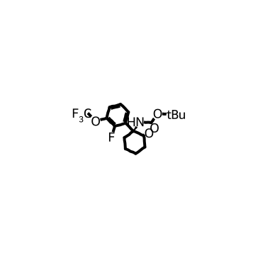 CC(C)(C)OC(=O)N[C@]1(c2cccc(OC(F)(F)F)c2F)CCCCC1=O